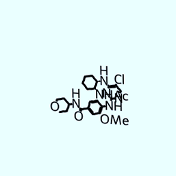 COc1cc(C(=O)NC2CCOCC2)ccc1Nc1ncc(Cl)c(N[C@@H]2CCCC[C@H]2NC(C)=O)n1